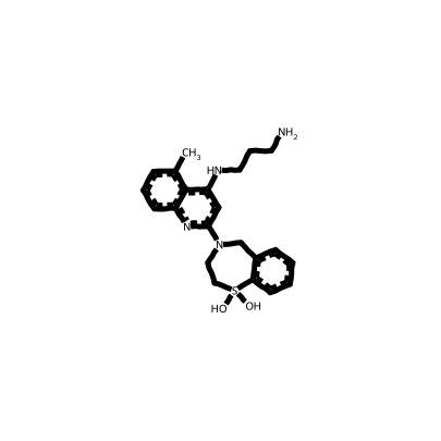 Cc1cccc2nc(N3CCS(O)(O)c4ccccc4C3)cc(NCCCN)c12